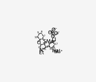 CC[n+]1cc(Oc2ccccc2)c(SC)c(-c2cccc(Cl)c2)c1.O=P([O-])([O-])[O-].[Na+].[Na+]